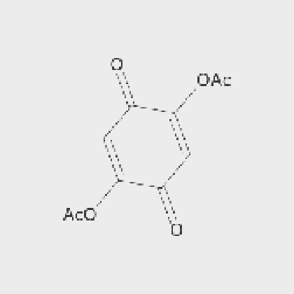 CC(=O)OC1=CC(=O)C(OC(C)=O)=CC1=O